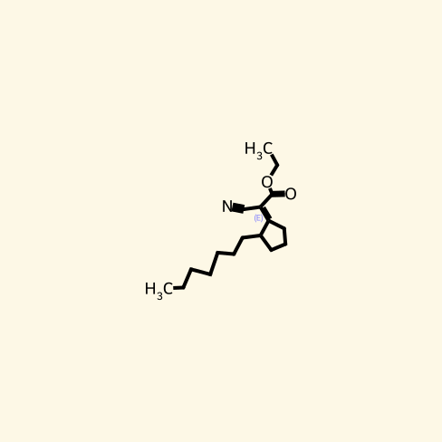 CCCCCCCC1CCC/C1=C(/C#N)C(=O)OCC